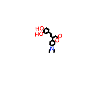 CCN(CC)c1ccc2c(/C=C/c3ccc(O)c(O)c3)cc(=O)oc2c1